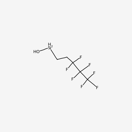 O[SiH2]CCC(F)(F)C(F)(F)C(F)(F)F